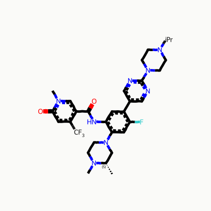 CC(C)N1CCN(c2ncc(-c3cc(NC(=O)c4cn(C)c(=O)cc4C(F)(F)F)c(N4CCN(C)[C@@H](C)C4)cc3F)cn2)CC1